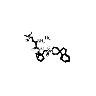 CC1(C)C2CCC1(CS(=O)(=O)N1CCC3(CCc4ccccc43)CC1)C(NC(=O)C(N)CCS(C)(=O)=O)C2.Cl